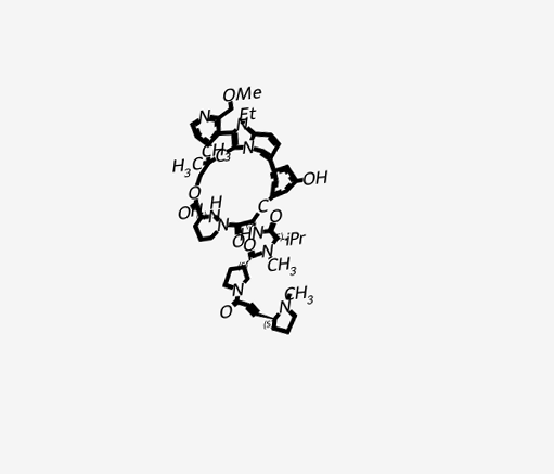 CCN1C(c2cccnc2COC)=C2CC(C)(C)COC(=O)[C@@H]3CCCN(N3)C(=O)[C@@H](NC(=O)[C@H](C(C)C)N(C)C(=O)[C@H]3CCN(C(=O)C#C[C@@H]4CCCN4C)C3)Cc3cc(O)cc(c3)C3=CN2C1C=C3